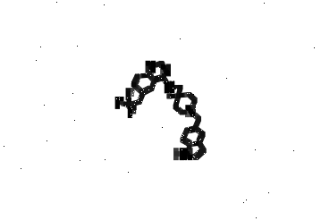 FC(F)(F)Cc1ccc2ncnc(N3CC4(CCN(Cc5ccc6[nH]ccc6c5)CC4)C3)c2c1